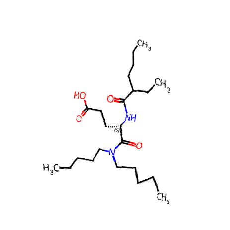 CCCCCN(CCCCC)C(=O)[C@H](CCC(=O)O)NC(=O)C(CC)CCCC